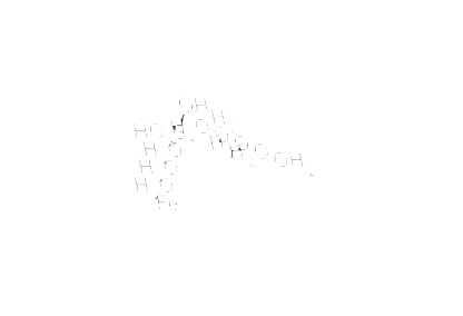 O.O.O.O.O.O.O.O.O=S(=O)(O)O.[Fe]